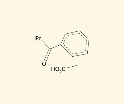 CC(=O)O.CC(C)C(=O)c1ccccc1